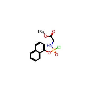 CC(C)(C)OC(=O)CNP(=O)(Cl)Oc1cccc2ccccc12